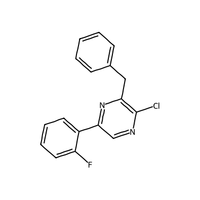 Fc1ccccc1-c1cnc(Cl)c(Cc2ccccc2)n1